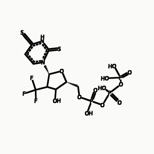 O=P(O)(O)OP(=O)(O)OP(=O)(O)OC[C@H]1O[C@@H](n2ccc(=S)[nH]c2=S)C(C(F)(F)F)C1O